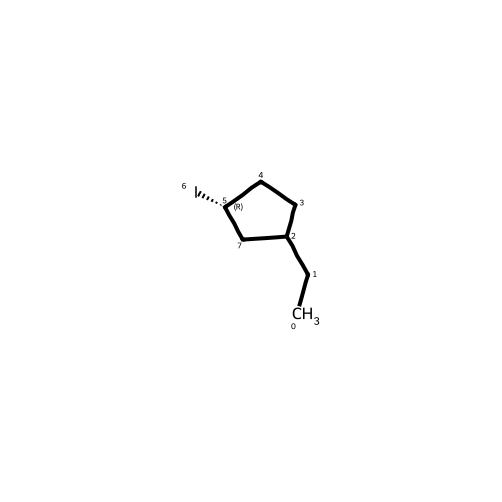 CCC1CC[C@@H](I)C1